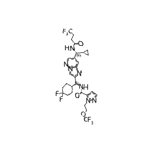 O=C(CCC(F)(F)F)N[C@@H](c1cnn2cc([C@@H](NC(=O)c3ccnn3CCOC(F)(F)F)C3CCC(F)(F)CC3)nc2c1)C1CC1